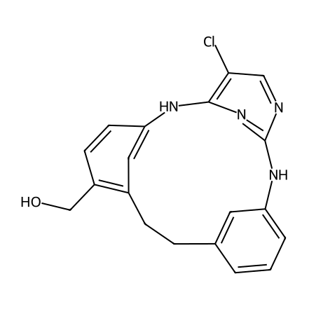 OCc1ccc2cc1CCc1cccc(c1)Nc1ncc(Cl)c(n1)N2